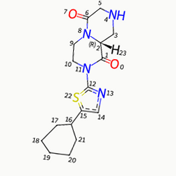 O=C1[C@H]2CNCC(=O)N2CCN1c1ncc(C2CCCCC2)s1